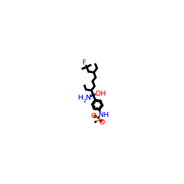 CCC(CCCC(CC)[C@](N)(O)c1ccc(NS(C)(=O)=O)cc1)CC(C)(C)F